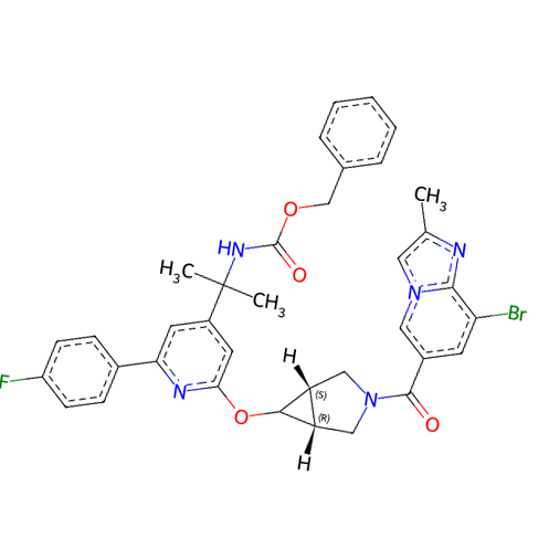 Cc1cn2cc(C(=O)N3C[C@@H]4C(Oc5cc(C(C)(C)NC(=O)OCc6ccccc6)cc(-c6ccc(F)cc6)n5)[C@@H]4C3)cc(Br)c2n1